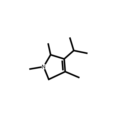 CC1=C(C(C)C)C(C)N(C)C1